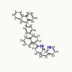 c1ccc2c(c1)cc(-c1ccc(-c3ccc(-c4ccc5ccc6cccnc6c5n4)c4ccccc34)cc1)c1ccccc12